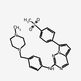 CN1CCN(Cc2ccc(Nc3ncc4ccc(-c5ccc(S(C)(=O)=O)cc5)n4n3)cc2)CC1